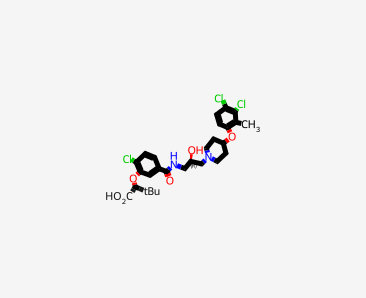 Cc1c(OC2CCN(C[C@H](O)CNC(=O)c3ccc(Cl)c(OC(C(=O)O)C(C)(C)C)c3)CC2)ccc(Cl)c1Cl